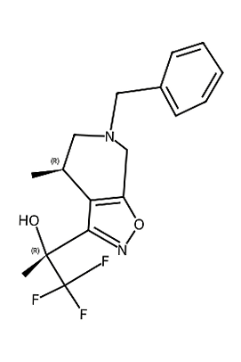 C[C@H]1CN(Cc2ccccc2)Cc2onc([C@@](C)(O)C(F)(F)F)c21